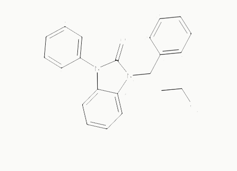 O=c1n(-c2ccccc2)c2ccccc2n1[C@@H](CCCl)c1ccccc1